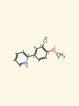 COc1ccc(-c2ccccn2)cc1Cl